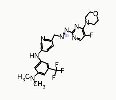 CN(C)c1cc(Nc2ccc(C/N=N/c3ncc(F)c(N4CCOCC4)n3)nc2)cc(C(F)(F)F)c1